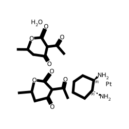 CC(=O)C1C(=O)CC(C)OC1=O.CC(=O)C1C(=O)CC(C)OC1=O.N[C@@H]1CCCC[C@H]1N.O.[Pt]